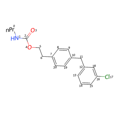 CCCNC(=O)OCCc1ccc(Cc2cccc(Cl)c2)cc1